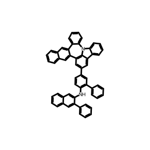 c1ccc(-c2cc(-c3cc4c5c(c3)c3ccccc3n5-c3ccccc3-c3cc5ccccc5cc3-4)ccc2Nc2cc3ccccc3cc2-c2ccccc2)cc1